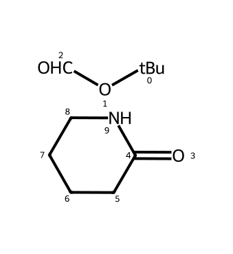 CC(C)(C)OC=O.O=C1CCCCN1